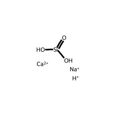 O=[Si](O)O.[Ca+2].[H+].[Na+]